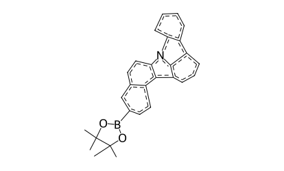 CC1(C)OB(c2ccc3c(ccc4c3c3cccc5c6ccccc6n4c53)c2)OC1(C)C